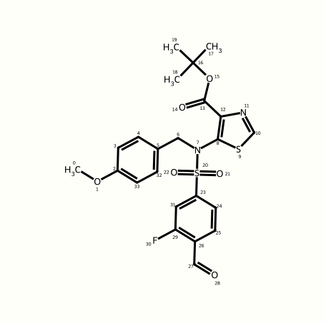 COc1ccc(CN(c2scnc2C(=O)OC(C)(C)C)S(=O)(=O)c2ccc(C=O)c(F)c2)cc1